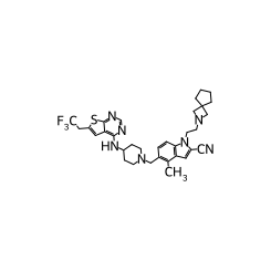 Cc1c(CN2CCC(Nc3ncnc4sc(CC(F)(F)F)cc34)CC2)ccc2c1cc(C#N)n2CCN1CC2(CCCC2)C1